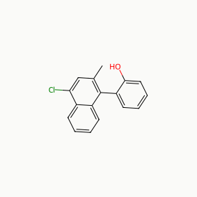 Cc1cc(Cl)c2ccccc2c1-c1ccccc1O